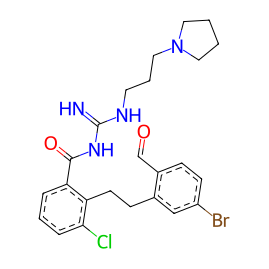 N=C(NCCCN1CCCC1)NC(=O)c1cccc(Cl)c1CCc1cc(Br)ccc1C=O